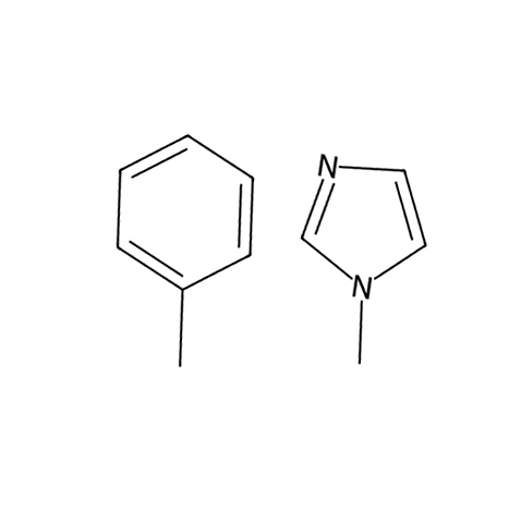 Cc1ccccc1.Cn1ccnc1